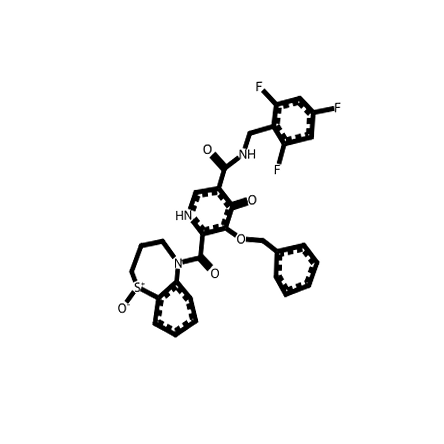 O=C(NCc1c(F)cc(F)cc1F)c1c[nH]c(C(=O)N2CCC[S+]([O-])c3ccccc32)c(OCc2ccccc2)c1=O